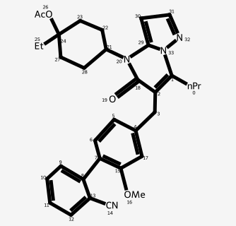 CCCc1c(Cc2ccc(-c3ccccc3C#N)c(OC)c2)c(=O)n(C2CCC(CC)(OC(C)=O)CC2)c2ccnn12